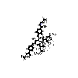 COC(=O)N[C@H](C(=O)N[C@@H](Cc1ccc(-c2cnn(C(F)F)c2)cc1)[C@@H](O)CN(Cc1c(F)cc(C(=N)/C=C\NC(F)F)cc1F)NC(=O)[C@@H](NC(=O)OC)C(C)(C)C(F)(F)F)C(C)(C)C(F)(F)F